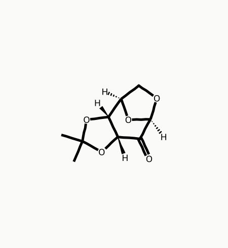 CC1(C)O[C@@H]2[C@H]3CO[C@H](O3)C(=O)[C@@H]2O1